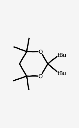 CC1(C)CC(C)(C)OC(C(C)(C)C)(C(C)(C)C)O1